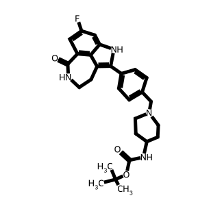 CC(C)(C)OC(=O)NC1CCN(Cc2ccc(-c3[nH]c4cc(F)cc5c4c3CCNC5=O)cc2)CC1